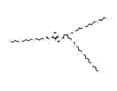 NCCCNCCCCNCCCNC(=O)Nc1ncnc2c1ncn2C1CC(OC(=O)NCCCNCCCCNCCCN)C(COC(=O)NCCCNCCCCNCCCN)O1